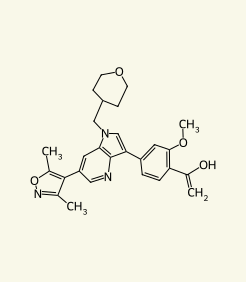 C=C(O)c1ccc(-c2cn(CC3CCOCC3)c3cc(-c4c(C)noc4C)cnc23)cc1OC